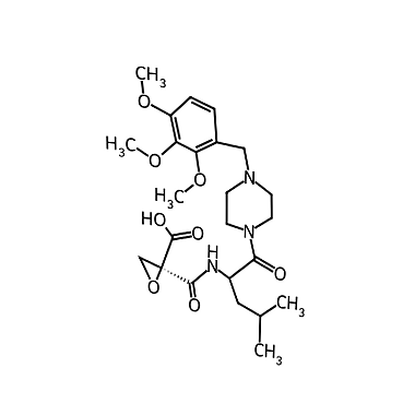 COc1ccc(CN2CCN(C(=O)C(CC(C)C)NC(=O)[C@@]3(C(=O)O)CO3)CC2)c(OC)c1OC